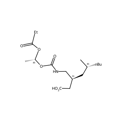 CCCC[C@@H](C)C[C@H](CNC(=O)O[C@H](C)OC(=O)CC)CC(=O)O